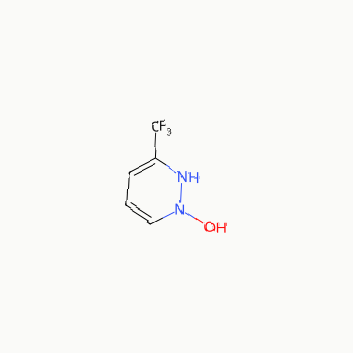 ON1C=CC=C(C(F)(F)F)N1